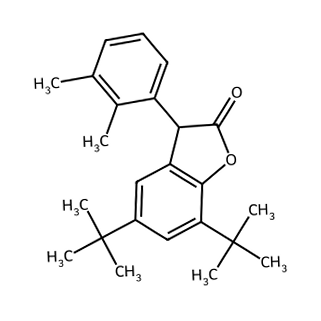 Cc1cccc(C2C(=O)Oc3c2cc(C(C)(C)C)cc3C(C)(C)C)c1C